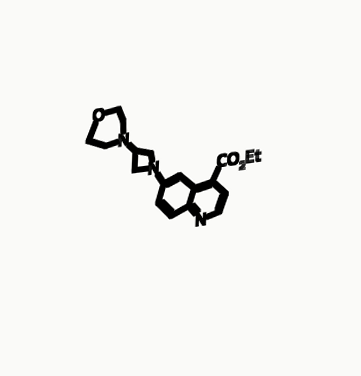 CCOC(=O)c1ccnc2ccc(N3CC(N4CCOCC4)C3)cc12